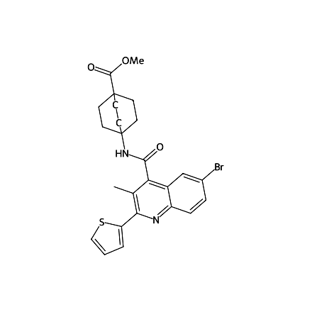 COC(=O)C12CCC(NC(=O)c3c(C)c(-c4cccs4)nc4ccc(Br)cc34)(CC1)CC2